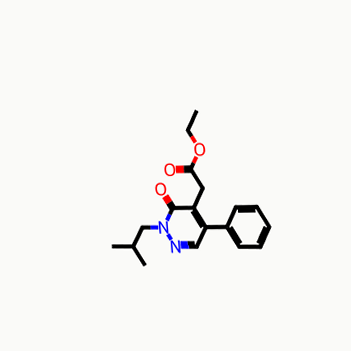 CCOC(=O)Cc1c(-c2ccccc2)cnn(CC(C)C)c1=O